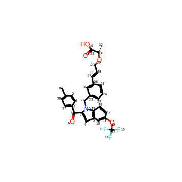 Cc1ccc(C(=O)c2cc3cc(OC(F)(F)F)ccc3n2Cc2cccc(/C=C/CO[C@@H](C)C(=O)O)c2)cc1